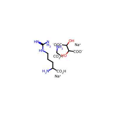 N=C(N)NCCCC(N)C(=O)O.NCC(=O)O.O=C([O-])C(O)C(O)C(=O)[O-].[Na+].[Na+]